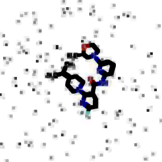 CC(C)=C1CCN(c2nc(F)ccc2C(=O)Nc2cccc(N3CCO[C@H](C)C3)n2)CC1